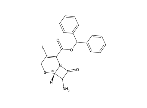 NC1C(=O)N2C(C(=O)OC(c3ccccc3)c3ccccc3)=C(I)CS[C@@H]12